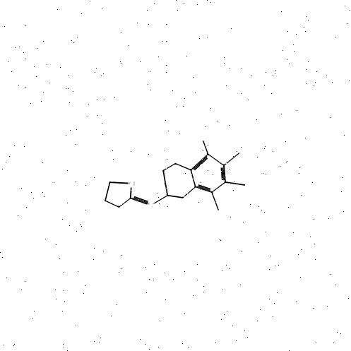 Cc1c(C)c(C)c2c(c1C)CCC(/N=C1/CCCN1)C2